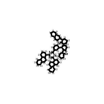 c1ccc2cc3c(cc2c1)c1ccccc1n3-c1ccc(-c2nc(-c3cccc4c3ccc3ccccc34)nc(-c3cccc4c3ccc3ccccc34)n2)cc1-c1cccc2sc3ccccc3c12